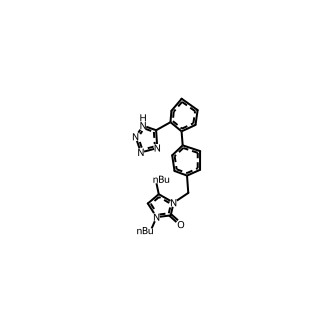 CCCCc1cn(CCCC)c(=O)n1Cc1ccc(-c2ccccc2-c2nnn[nH]2)cc1